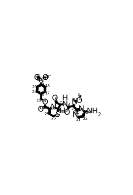 CON=C(C(=O)NC1C(=O)N2C(C(=O)OCc3ccc([N+](=O)[O-])cc3)=CCS[C@@H]12)c1nccc(N)n1